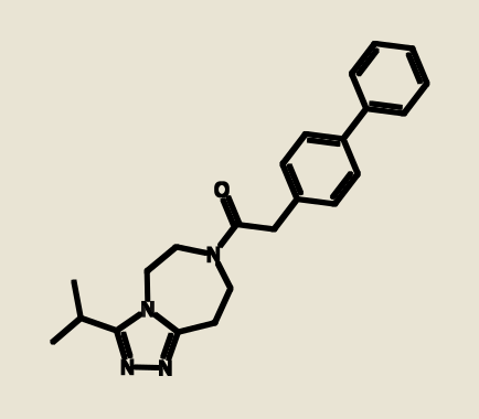 CC(C)c1nnc2n1CCN(C(=O)Cc1ccc(-c3ccccc3)cc1)CC2